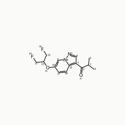 CC(C)C(=O)c1cnn2cc(OC(CF)CF)ccc12